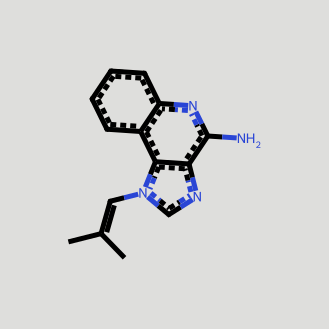 CC(C)=Cn1cnc2c(N)nc3ccccc3c21